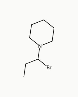 CCC(Br)N1CCCCC1